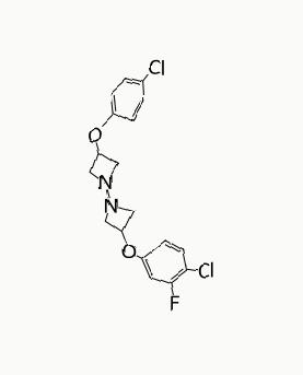 Fc1cc(OC2CN(N3CC(Oc4ccc(Cl)cc4)C3)C2)ccc1Cl